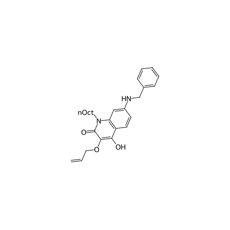 C=CCOc1c(O)c2ccc(NCc3ccccc3)cc2n(CCCCCCCC)c1=O